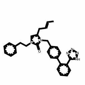 C/C=C/Cc1cn(CCc2ccccc2)c(=O)n1Cc1ccc(-c2ccccc2-c2nnn[nH]2)cc1